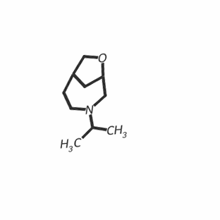 CC(C)N1CCC2COC(C2)C1